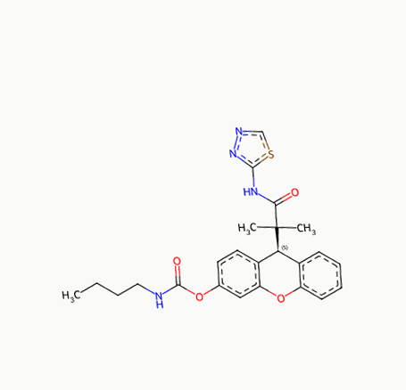 CCCCNC(=O)Oc1ccc2c(c1)Oc1ccccc1[C@@H]2C(C)(C)C(=O)Nc1nncs1